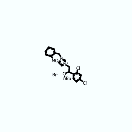 CCCCOC(C[n+]1ccn(Cc2ccccc2[N+](=O)[O-])c1)c1ccc(Cl)cc1Cl.[Br-]